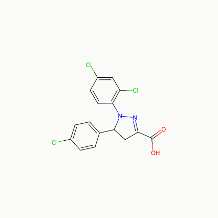 O=C(O)C1=NN(c2ccc(Cl)cc2Cl)C(c2ccc(Cl)cc2)C1